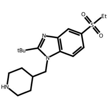 CCS(=O)(=O)c1ccc2c(c1)nc(C(C)(C)C)n2CC1CCNCC1